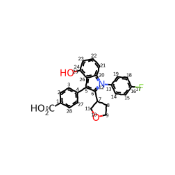 O=C(O)c1ccc(-c2c(C3CCOC3)n(-c3ccc(F)cc3)c3cccc(O)c23)cc1